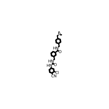 CN(C)Cc1ccc(CNC(=O)c2cccc(CNC(=O)Nc3ccc(C#N)c(Cl)c3)c2)cc1